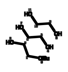 CC(C)COCCO.OCCO.OCCO